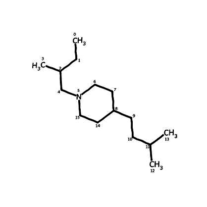 CCC(C)CN1CCC(CCC(C)C)CC1